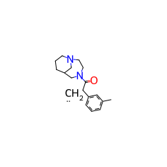 Cc1cccc(CC(=O)N2CCN3CCCC(C3)C2)c1.[CH2]